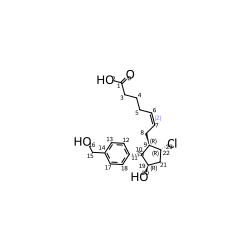 O=C(O)CCC/C=C\C[C@@H]1[C@@H](c2ccc(CO)cc2)[C@H](O)C[C@H]1Cl